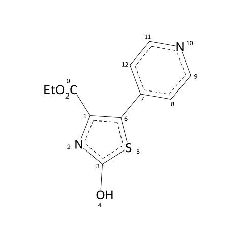 CCOC(=O)c1nc(O)sc1-c1ccncc1